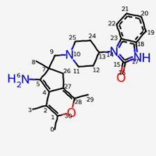 CC1=C(C)C2=C(N)C(C)(CN3CCC(n4c(=O)[nH]c5ccccc54)CC3)CC2=C(C)O1